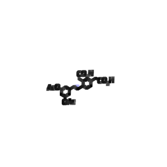 CC(=O)Oc1cc(/C=C/c2ccc(CC(=O)O)cc2CC(=O)O)cc(OC(C)=O)c1